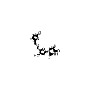 O=c1[nH]c(=O)n([C@H]2C[C@H](O)[C@@H](COCc3ccc(Cl)s3)O2)cc1F